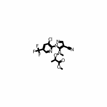 COC(=O)C(C)ON(C)c1c(C#N)cnn1-c1ncc(C(F)(F)F)cc1Cl